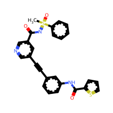 CS(=O)(=NC(=O)c1cncc(C#Cc2cccc(NC(=O)c3cccs3)c2)c1)c1ccccc1